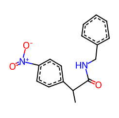 CC(C(=O)NCc1ccccc1)c1ccc([N+](=O)[O-])cc1